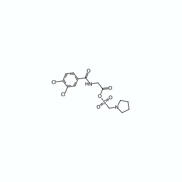 O=C(CNC(=O)c1ccc(Cl)c(Cl)c1)OS(=O)(=O)CN1C[CH]CC1